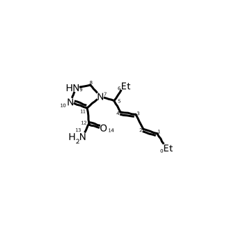 CC/C=C/C=CC(CC)N1CNN=C1C(N)=O